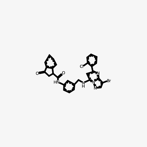 O=C1CC(C(=O)Nc2cccc(CNc3cc(-c4ccccc4Cl)nc4c(Br)cnn34)c2)c2ccccc21